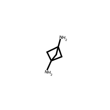 NC12CC(N)(C1)C2